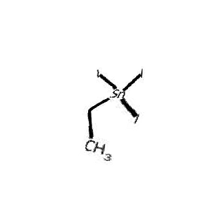 C[CH2][Sn]([I])([I])[I]